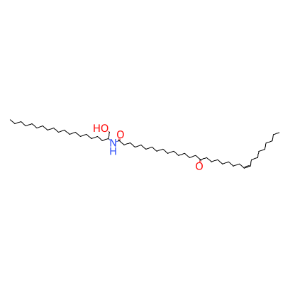 CCCCCCCC/C=C\CCCCCCCC(=O)CCCCCCCCCCCCCCC(=O)NC(CO)CCCCCCCCCCCCCCCCCC